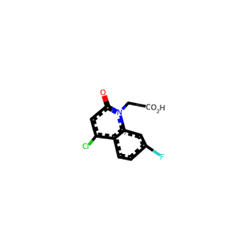 O=C(O)Cn1c(=O)cc(Cl)c2ccc(F)cc21